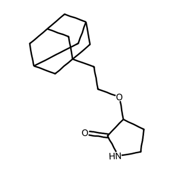 O=C1NCCC1OCCC12CC3CC(CC(C3)C1)C2